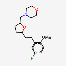 COc1ccc(F)cc1CCC1CCC(CN2CCOCC2)O1